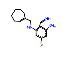 N=Cc1c(N)cc(Br)cc1NCC1=CCCCCC1